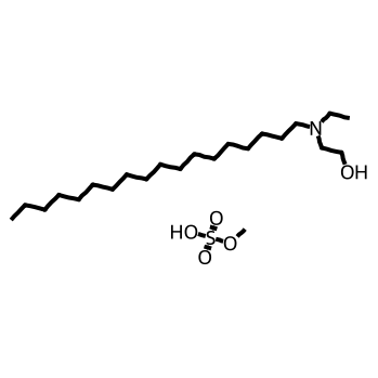 CCCCCCCCCCCCCCCCCCN(CC)CCO.COS(=O)(=O)O